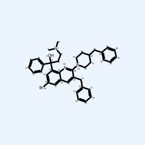 CN(C)CCC(O)(c1ccccc1)c1cc(Br)cc2cc(Cc3ccccc3)c(N3CCC(Cc4ccccc4)CC3)nc12